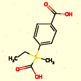 CCS(C)(C(=O)O)c1ccc(C(=O)O)cc1